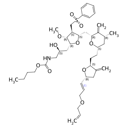 C=CCOC/C=C/[C@H]1CC(=C)[C@H](CC[C@H]2C[C@@H](C)C(=C)[C@@H](C[C@@H]3O[C@H](C[C@H](O)CNC(=O)OCCCC)[C@H](OC)[C@H]3CS(=O)(=O)c3ccccc3)O2)O1